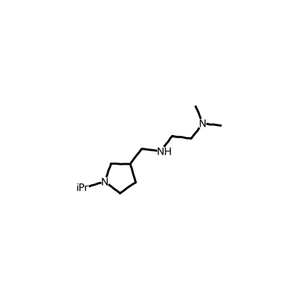 CC(C)N1CCC(CNCCN(C)C)C1